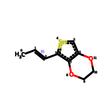 C/C=C/c1scc2c1OCCO2